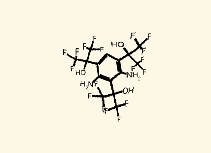 Nc1c(C(O)(C(F)(F)F)C(F)(F)F)cc(C(O)(C(F)(F)F)C(F)(F)F)c(N)c1C(O)(C(F)(F)F)C(F)(F)F